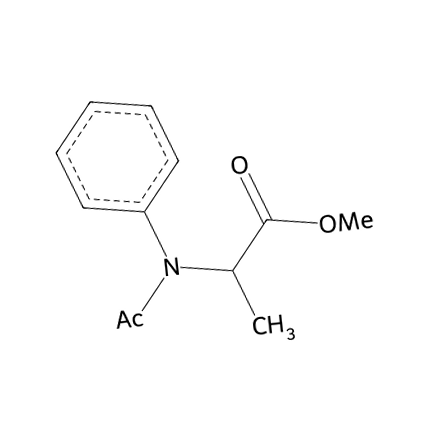 COC(=O)C(C)N(C(C)=O)c1ccccc1